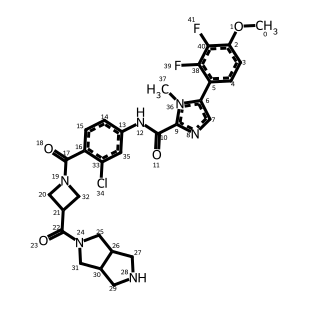 COc1ccc(-c2cnc(C(=O)Nc3ccc(C(=O)N4CC(C(=O)N5CC6CNCC6C5)C4)c(Cl)c3)n2C)c(F)c1F